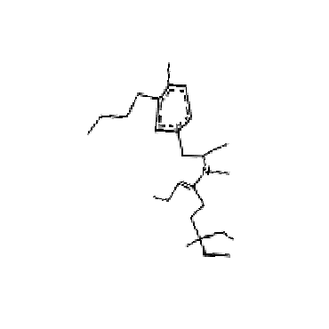 CCC=C(CCC(C)(CC)CC)N(C)C(C)Cc1ccc(C)c(CCCC)c1